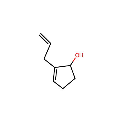 C=CCC1=CCCC1O